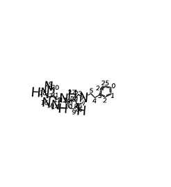 c1ccc(CCN2C[C@@H]3CC[C@@H](Nc4ncnc5[nH]ncc45)[C@@H]3C2)cc1